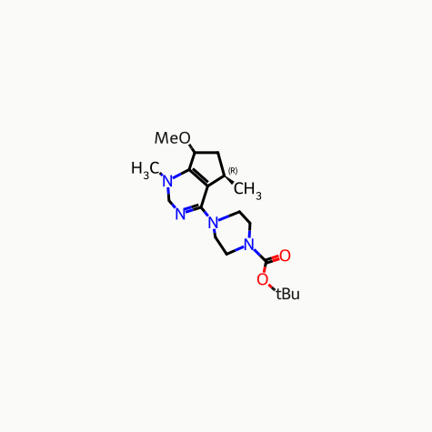 COC1C[C@@H](C)C2=C1N(C)CN=C2N1CCN(C(=O)OC(C)(C)C)CC1